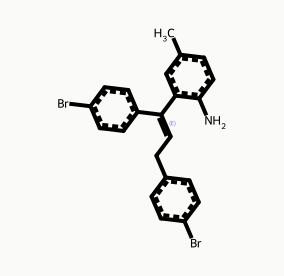 Cc1ccc(N)c(/C(=C/Cc2ccc(Br)cc2)c2ccc(Br)cc2)c1